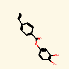 C=Cc1ccc(C(=O)Oc2ccc(O)c(O)c2)cc1